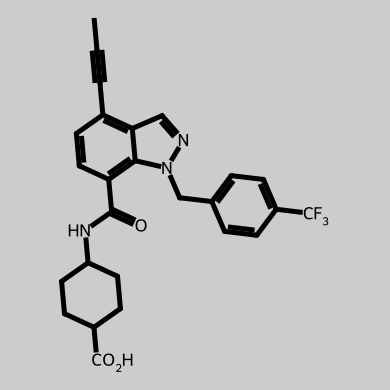 CC#Cc1ccc(C(=O)NC2CCC(C(=O)O)CC2)c2c1cnn2Cc1ccc(C(F)(F)F)cc1